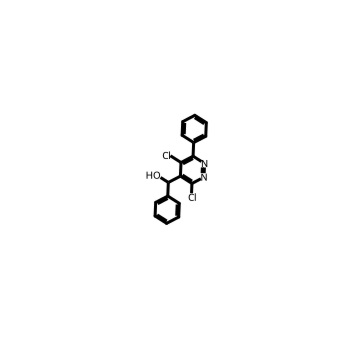 OC(c1ccccc1)c1c(Cl)nnc(-c2ccccc2)c1Cl